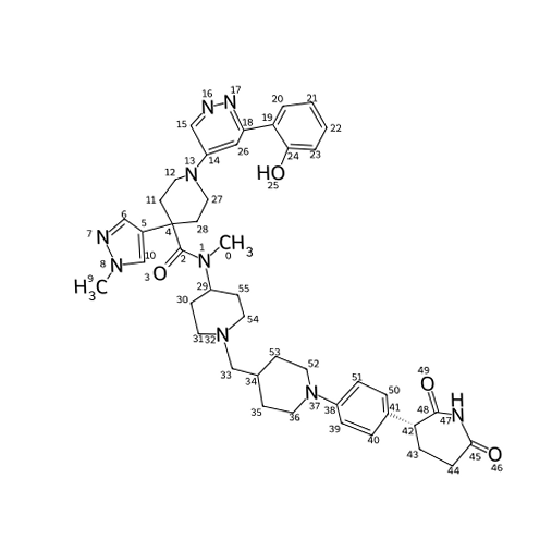 CN(C(=O)C1(c2cnn(C)c2)CCN(c2cnnc(-c3ccccc3O)c2)CC1)C1CCN(CC2CCN(c3ccc([C@H]4CCC(=O)NC4=O)cc3)CC2)CC1